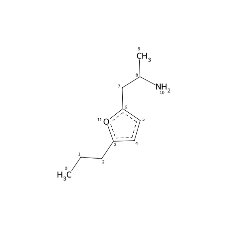 CCCc1ccc(CC(C)N)o1